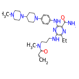 C=CC(=O)N(C)CCCNc1nc(Nc2ccc(N3CCC(N4CCN(C)CC4)CC3)cc2)c(C(N)=O)nc1CC